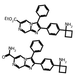 CCOC(=O)c1cn2c(-c3ccccc3)c(-c3ccc(C4(N)CCC4)cc3)nc2cn1.NC(=O)c1cn2c(-c3ccccc3)c(-c3ccc(C4(N)CCC4)cc3)nc2cn1